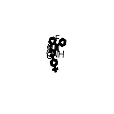 CN1C(=O)C(NC(=O)c2ccc(C(C)(C)C)cc2)N=C(c2ccccc2F)c2ccccc21